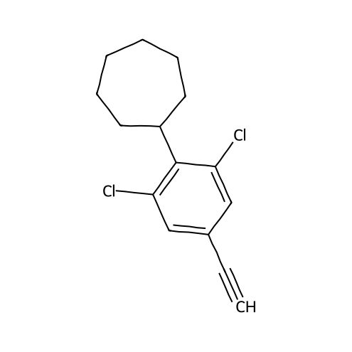 C#Cc1cc(Cl)c(C2CCCCCC2)c(Cl)c1